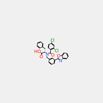 O=C(O)[C@H](Cc1ccccc1)N(Cc1cccc(-c2nc3ccccc3o2)c1)C(=O)c1ccc(Cl)cc1Cl